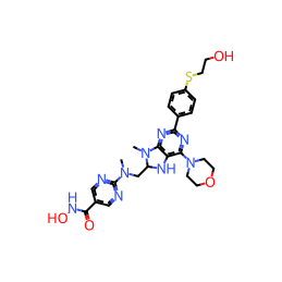 CN(CC1Nc2c(N3CCOCC3)nc(-c3ccc(SCCO)cc3)nc2N1C)c1ncc(C(=O)NO)cn1